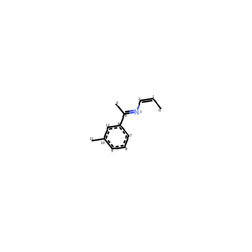 C/C=C\N=C(/C)c1cccc(C)c1